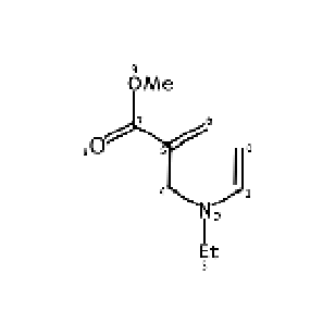 C=CN(CC)CC(=C)C(=O)OC